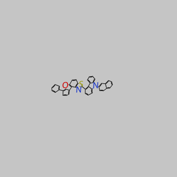 c1ccc(-c2cccc3c2oc2ccc4sc(-c5cccc6c5c5ccccc5n6-c5ccc6ccccc6c5)nc4c23)cc1